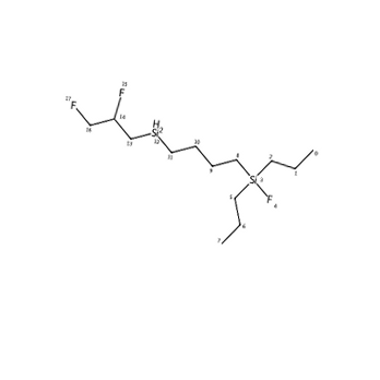 CCC[Si](F)(CCC)CCCC[SiH2]CC(F)CF